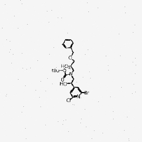 CC(C)(C)OC(=O)N(CC(O)c1cc(Cl)nc(Br)c1)C[C@@H](O)COCc1ccccc1